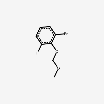 COCOc1c(F)cccc1Br